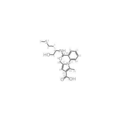 CSCC[C@@H](CO)NC(=O)c1ccccc1-n1c(C)cc(C(=O)O)c1C